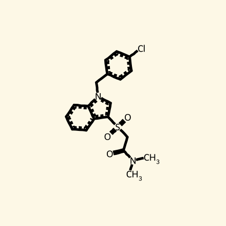 CN(C)C(=O)CS(=O)(=O)c1cn(Cc2ccc(Cl)cc2)c2ccccc12